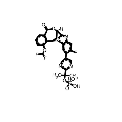 CC(C)(OP(=O)(O)O)c1ncc(-c2cc3c(cc2F)nc2n3C3C[C@@H]2OC(=O)c2cccc(OC(F)F)c23)cn1